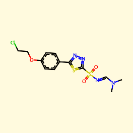 CN(C)/C=N/S(=O)(=O)c1nnc(-c2ccc(OCCCl)cc2)s1